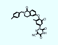 Cc1ccc(CN2CCc3cc(Oc4c(C)cc(-n5nc(C#N)c(=O)[nH]c5=O)cc4Cl)ccc3C2=O)cc1